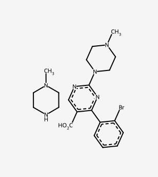 CN1CCN(c2ncc(C(=O)O)c(-c3ccccc3Br)n2)CC1.CN1CCNCC1